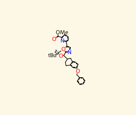 COC(=O)c1cccc(-c2cnc(C(O[Si](C)(C)C(C)(C)C)C3CCc4cc(OCc5ccccc5)ccc4C3)o2)n1